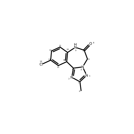 Cc1nc2n(n1)CC(=O)Nc1ccc(Cl)cc1-2